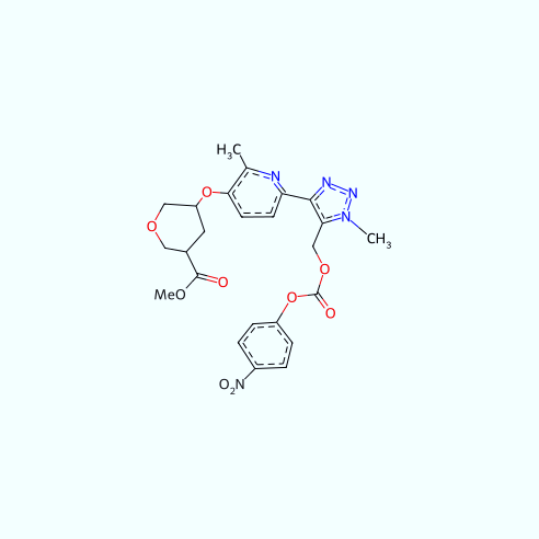 COC(=O)C1COCC(Oc2ccc(-c3nnn(C)c3COC(=O)Oc3ccc([N+](=O)[O-])cc3)nc2C)C1